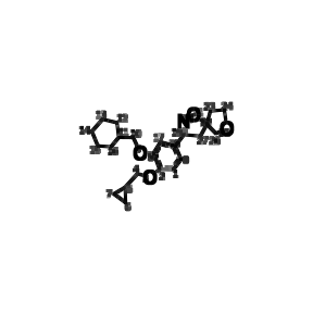 c1cc(OCC2CC2)c(OCC2CCCCC2)cc1C1=NOC2(CCOC2)C1